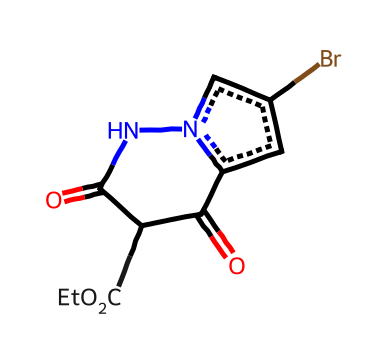 CCOC(=O)C1C(=O)Nn2cc(Br)cc2C1=O